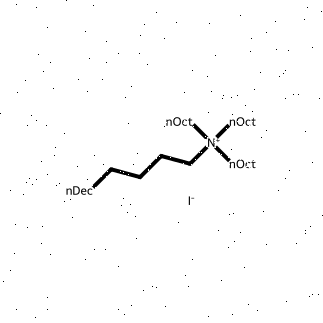 CCCCCCCCCCCCCC[N+](CCCCCCCC)(CCCCCCCC)CCCCCCCC.[I-]